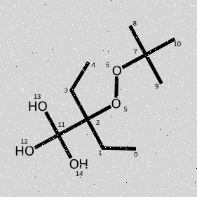 CCC(CC)(OOC(C)(C)C)C(O)(O)O